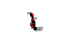 COc1ccc(N(CCCN2CC3CC(C2)CN(CC(O)COc2ccc(C#N)cc2)C3)C(=O)c2ccc([N+](=O)[O-])cc2)cc1OC